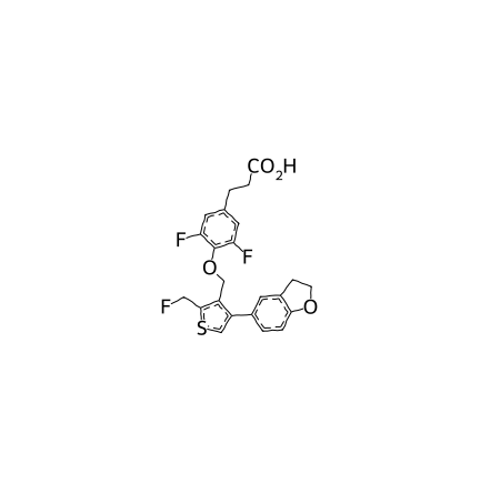 O=C(O)CCc1cc(F)c(OCc2c(-c3ccc4c(c3)CCO4)csc2CF)c(F)c1